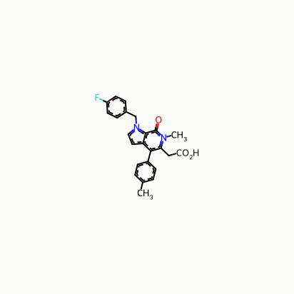 Cc1ccc(-c2c(CC(=O)O)n(C)c(=O)c3c2ccn3Cc2ccc(F)cc2)cc1